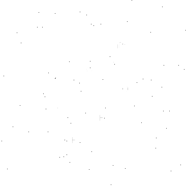 CC(C)C(=O)OC1CC1(F)F